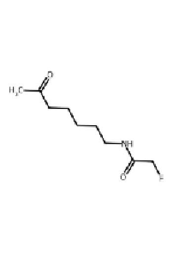 CC(=O)CCCCCNC(=O)CF